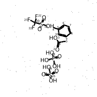 CC(=O)O.Cc1ccccc1.O=P(O)(O)O.O=S(=O)(O)C(F)(F)F.O=S(=O)(O)O